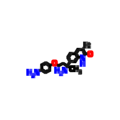 CCc1cc2ccc(C(C)(N)CCOc3ccc(N)cc3)cc2[nH]c1=O